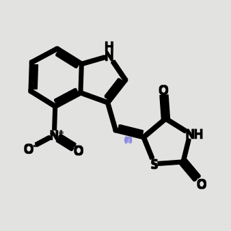 O=C1NC(=O)/C(=C\c2c[nH]c3cccc([N+](=O)[O-])c23)S1